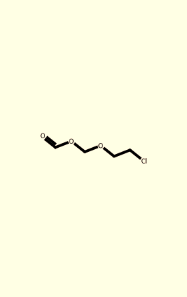 O=[C]OCOCCCl